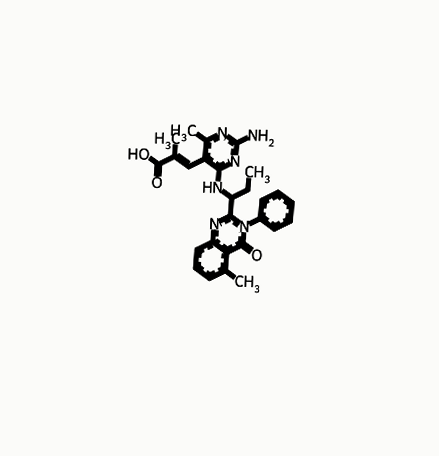 CCC(Nc1nc(N)nc(C)c1C=C(C)C(=O)O)c1nc2cccc(C)c2c(=O)n1-c1ccccc1